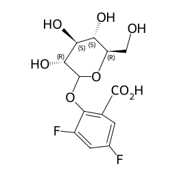 O=C(O)c1cc(F)cc(F)c1OC1O[C@H](CO)[C@@H](O)[C@H](O)[C@H]1O